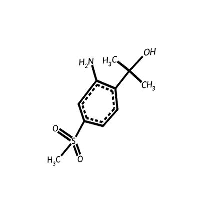 CC(C)(O)c1ccc(S(C)(=O)=O)cc1N